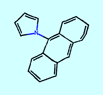 c1ccc2c(-n3cccc3)c3ccccc3cc2c1